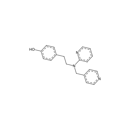 Oc1ccc(CCN(Cc2ccncc2)c2[c]cccn2)cc1